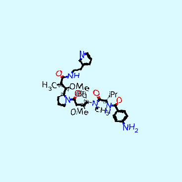 CC[C@H](C)[C@@H]([C@@H](CC(=O)N1CCC[C@H]1[C@H](OC)[C@@H](C)C(=O)NCCc1cccnc1)OC)N(C)C(=O)[C@@H](NC(=O)c1ccc(N)cc1)C(C)C